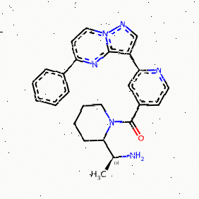 C[C@H](N)C1CCCCN1C(=O)c1ccnc(-c2cnn3ccc(-c4ccccc4)nc23)c1